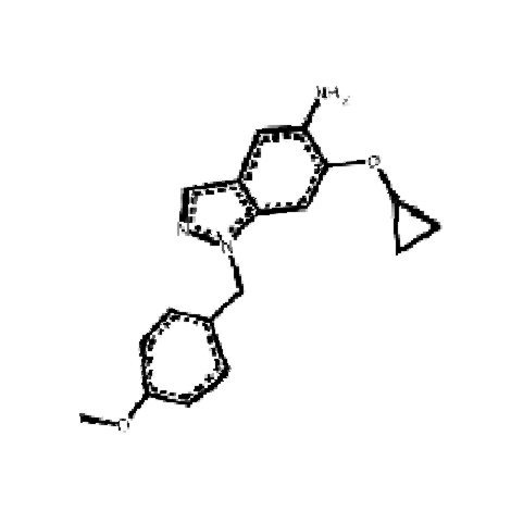 COc1ccc(Cn2ncc3cc(N)c(OC4CC4)cc32)cc1